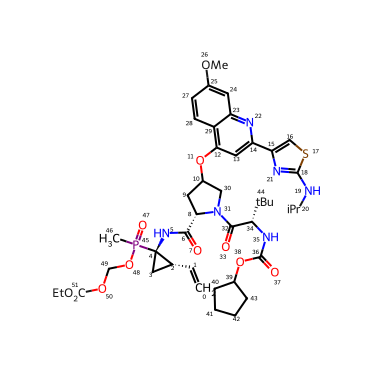 C=C[C@@H]1C[C@]1(NC(=O)[C@@H]1CC(Oc2cc(-c3csc(NC(C)C)n3)nc3cc(OC)ccc23)CN1C(=O)[C@@H](NC(=O)OC1CCCC1)C(C)(C)C)P(C)(=O)OCOC(=O)OCC